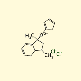 CC1C[C](C)([Zr+2][C]2=CC=CC2)C2=CC=CCC21.[Cl-].[Cl-]